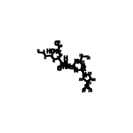 CCCCCC(CN(O)C=O)C(=O)NNc1nc(CC)nc(N2CCC(N(C)C)C2)n1